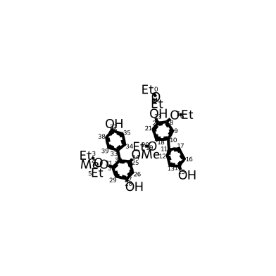 CCOCC.CCOCC.CCOc1cc(-c2ccc(O)cc2)c(OCC)cc1O.COc1cc(O)cc(OC)c1-c1ccc(O)cc1